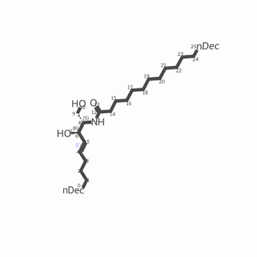 CCCCCCCCCCCCC/C=C/[C@@H](O)[C@H](CO)NC(=O)CCCCCCCCCCCCCCCCCCCCC